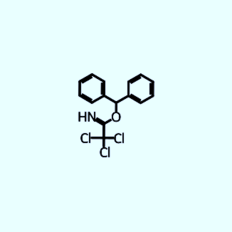 N=C(OC(c1ccccc1)c1ccccc1)C(Cl)(Cl)Cl